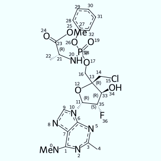 CNc1nc(C)nc2c1ncn2[C@@H]1O[C@](CCl)(CO[P@@](=O)(N[C@H](C)C(=O)OC)Oc2ccccc2)[C@@H](O)[C@@H]1F